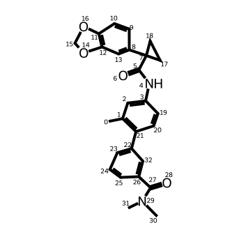 Cc1cc(NC(=O)C2(c3ccc4c(c3)OCO4)CC2)ccc1-c1cccc(C(=O)N(C)C)c1